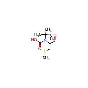 CSC[C@@H](C=O)N(C(=O)O)C(C)(C)C